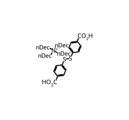 CCCCCCCCCC[N+](CCCCCCCCCC)(CCCCCCCCCC)CCCCCCCCCC.O=C(O)c1ccc(SSc2ccc(C(=O)O)cc2)cc1